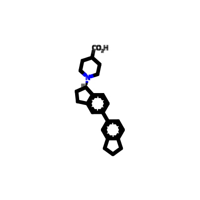 O=C(O)C1CCN([C@H]2CCc3cc(-c4ccc5c(c4)CCC5)ccc32)CC1